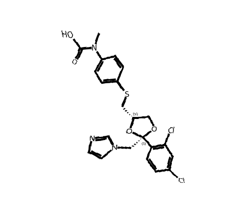 CN(C(=O)O)c1ccc(SC[C@@H]2CO[C@@](Cn3ccnc3)(c3ccc(Cl)cc3Cl)O2)cc1